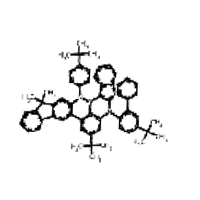 CC(C)(C)c1ccc(N2B3c4c(cc(C(C)(C)C)cc4N(c4ccc(C(C)(C)C)cc4-c4ccccc4)c4oc5ccccc5c43)-c3cc4c(cc32)C(C)(C)c2ccccc2-4)cc1